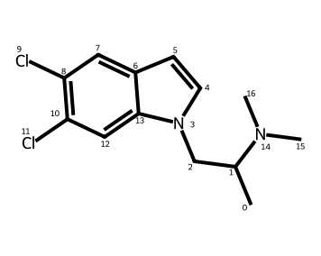 CC(Cn1ccc2cc(Cl)c(Cl)cc21)N(C)C